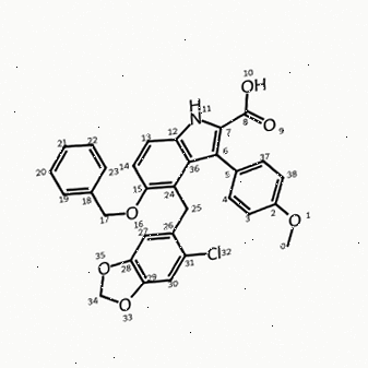 COc1ccc(-c2c(C(=O)O)[nH]c3ccc(OCc4ccccc4)c(Cc4cc5c(cc4Cl)OCO5)c23)cc1